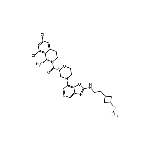 COC1CN(CCNc2nc3cncc(N4CCO[C@@H](C(=O)N5CCc6cc(Cl)cc(Cl)c6[C@@H]5C)C4)c3o2)C1